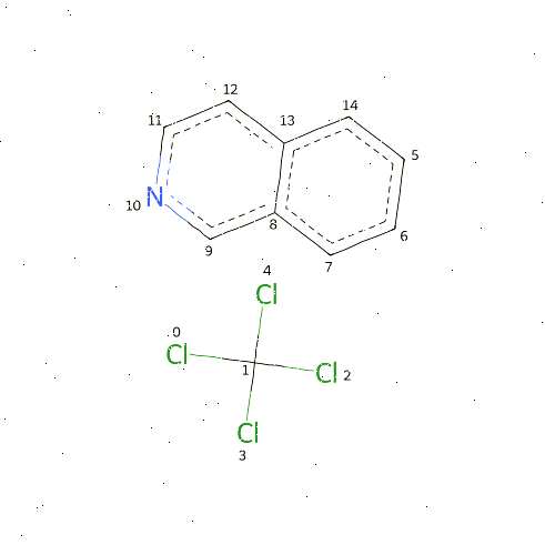 ClC(Cl)(Cl)Cl.c1ccc2cnccc2c1